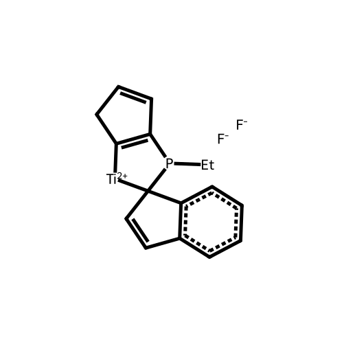 CCP1C2=[C](CC=C2)[Ti+2][C]12C=Cc1ccccc12.[F-].[F-]